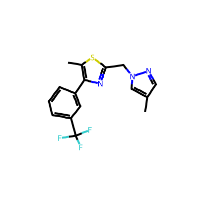 Cc1cnn(Cc2nc(-c3cccc(C(F)(F)F)c3)c(C)s2)c1